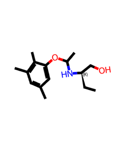 CC[C@H](CO)NC(C)Oc1cc(C)cc(C)c1C